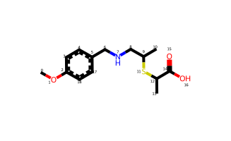 COc1ccc(CNCC(C)SC(C)C(=O)O)cc1